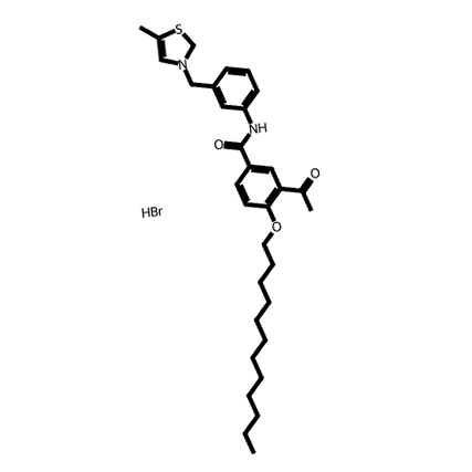 Br.CCCCCCCCCCCCOc1ccc(C(=O)Nc2cccc(CN3C=C(C)SC3)c2)cc1C(C)=O